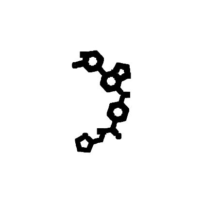 O=C(NCC1CCCO1)c1ccc(Nc2ccc(-c3cc[nH]c(=O)c3)n3ccnc23)cc1